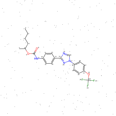 CCCCC(C)OC(=O)Nc1ccc(-c2ncn(-c3ccc(OC(F)(F)F)cc3)n2)cc1